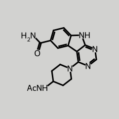 CC(=O)NC1CCN(c2ncnc3[nH]c4ccc(C(N)=O)cc4c23)CC1